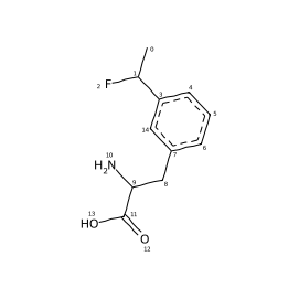 CC(F)c1cccc(CC(N)C(=O)O)c1